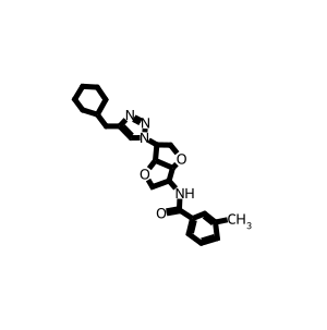 Cc1cccc(C(=O)NC2COC3C2OCC3n2cc(CC3CCCCC3)nn2)c1